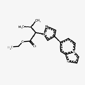 CCOC(=O)C(C(C)C)n1cc(-c2ccn3ccnc3c2)cn1